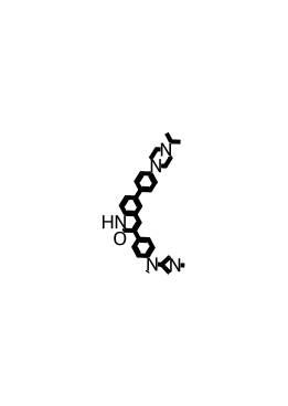 CC(C)N1CCN(c2ccc(-c3ccc4[nH]c(=O)c(-c5ccc(N(C)C6CN(C)C6)cc5)cc4c3)cc2)CC1